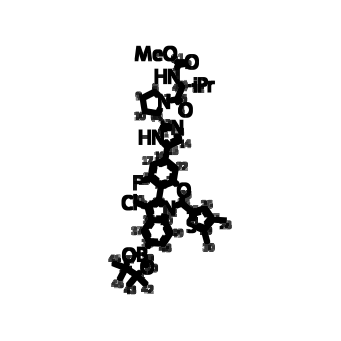 COC(=O)N[C@@H](C(=O)N1CCC[C@H]1c1ncc(-c2cc(F)c3c(c2)OC(c2cc(C)c(C)s2)n2c-3c(Cl)c3cc(B4OC(C)(C)C(C)(C)O4)ccc32)[nH]1)C(C)C